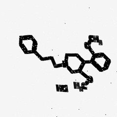 COc1ccccc1C1CCN(CCCc2ccccc2)CC1OC.Cl